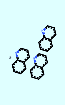 [Li].c1ccc2ncccc2c1.c1ccc2ncccc2c1.c1ccc2ncccc2c1